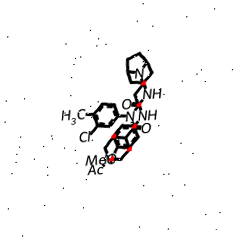 COc1ccc(NC(=O)NC2CC3CCC(C2)N3CCCN(C(=O)C2CCN(C(C)=O)CC2)c2ccc(C)c(Cl)c2)cc1